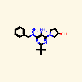 CC(C)(C)c1nc(N(N)Cc2ccccc2)c(N)c(N2CCC(O)C2)n1